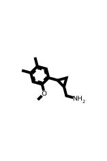 COc1cc(C)c(C)cc1C1CC1CN